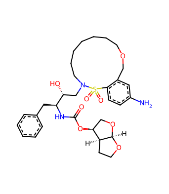 Nc1ccc2c(c1)COCCCCCCCN(C[C@@H](O)[C@H](Cc1ccccc1)NC(=O)O[C@H]1CO[C@H]3OCC[C@H]31)S2(=O)=O